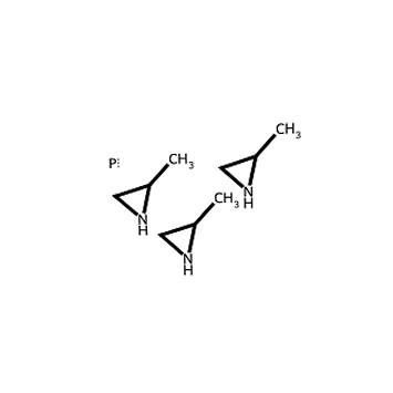 CC1CN1.CC1CN1.CC1CN1.[P]